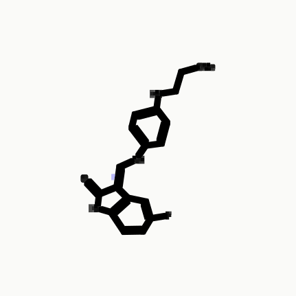 COCCNc1ccc(N/C=C2/C(=O)Nc3ccc(F)cc32)cc1